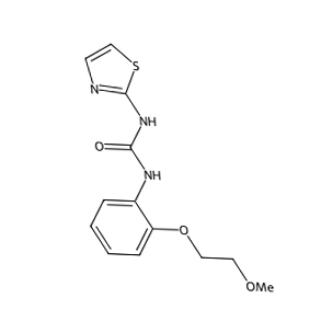 COCCOc1ccccc1NC(=O)Nc1nccs1